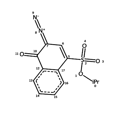 CC(C)OS(=O)(=O)C1=CC(=[N+]=[N-])C(=O)c2ccccc21